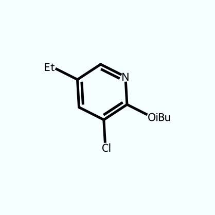 CCc1cnc(OCC(C)C)c(Cl)c1